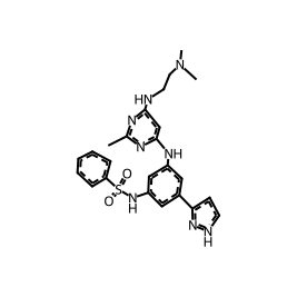 Cc1nc(NCCN(C)C)cc(Nc2cc(NS(=O)(=O)c3ccccc3)cc(-c3cc[nH]n3)c2)n1